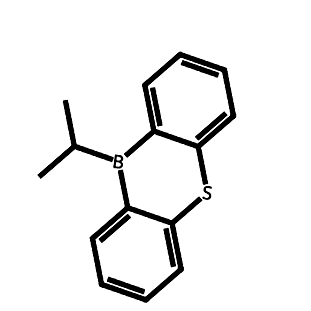 CC(C)B1c2ccccc2Sc2ccccc21